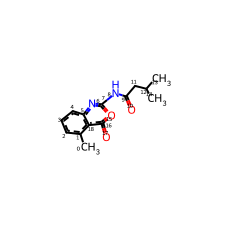 Cc1cccc2nc(NC(=O)CC(C)C)oc(=O)c12